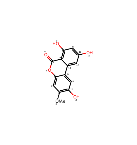 COc1cc2oc(=O)c3c(O)cc(O)cc3c2cc1O